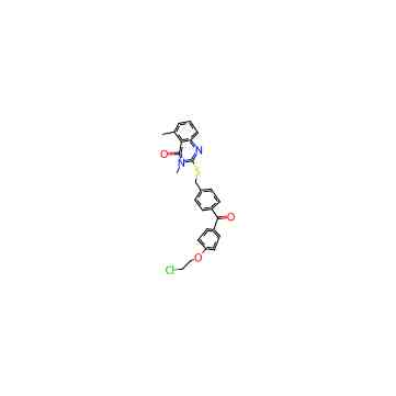 Cc1cccc2nc(SCc3ccc(C(=O)c4ccc(OCCCl)cc4)cc3)n(C)c(=O)c12